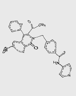 COC(=O)c1c(-c2ccccc2)c2cc(Br)ccc2c(=O)n1Cc1ccc(C(=O)Nc2ccncc2)cc1